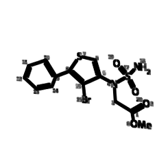 COC(=O)CN(c1csc(-c2ccccc2)c1Br)S(N)(=O)=O